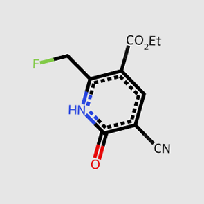 CCOC(=O)c1cc(C#N)c(=O)[nH]c1CF